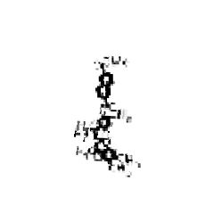 COC(=O)c1ccc2cc(C(=O)Oc3cc4c(cc3C)OC3(CC(C)(C)c5cc(C)c(C)cc5O3)CC4(C)C)ccc2c1